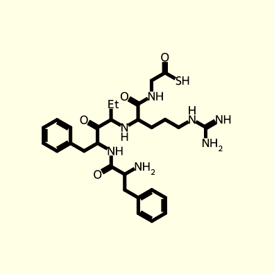 CCC(NC(CCCNC(=N)N)C(=O)NCC(=O)S)C(=O)C(Cc1ccccc1)NC(=O)C(N)Cc1ccccc1